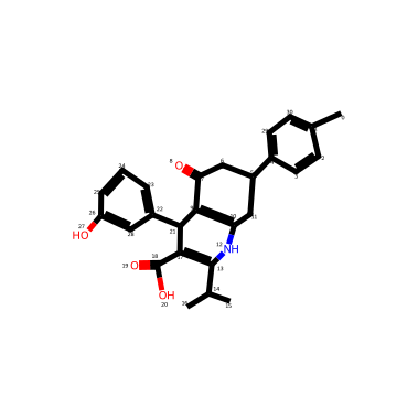 Cc1ccc(C2CC(=O)C3=C(C2)NC(C(C)C)=C(C(=O)O)C3c2cccc(O)c2)cc1